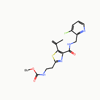 C=C(C)c1sc(CCNC(=O)OC(C)(C)C)nc1C(=O)NCc1ncccc1F